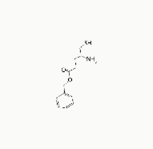 NC(CS)CCC(=O)OCc1ccccc1